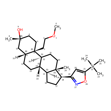 COCC[C@]12CC[C@@](C)(O)C[C@H]1CC[C@H]1[C@@H]3CC[C@H](c4cc([Si](C)(C)C)on4)[C@@]3(C)CC[C@@H]12